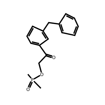 CP(C)(=O)OCC(=O)c1cccc(Cc2ccccc2)c1